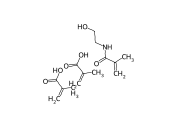 C=C(C)C(=O)NCCO.C=C(C)C(=O)O.C=C(C)C(=O)O